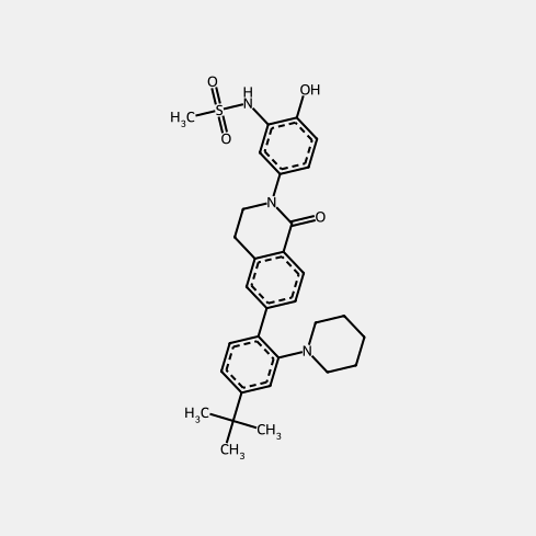 CC(C)(C)c1ccc(-c2ccc3c(c2)CCN(c2ccc(O)c(NS(C)(=O)=O)c2)C3=O)c(N2CCCCC2)c1